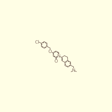 CN(C)Cc1ccc2c(c1)CCC(n1ccc(OCc3ccc(Cl)cc3)cc1=O)=C2